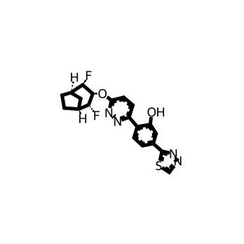 Oc1cc(-c2nncs2)ccc1-c1ccc(O[C@@H]2[C@H](F)[C@H]3CC[C@H](C3)[C@@H]2F)nn1